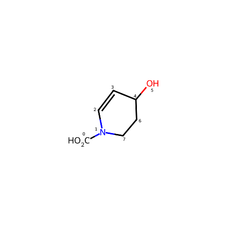 O=C(O)N1C=CC(O)CC1